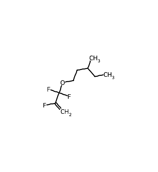 C=C(F)C(F)(F)OCCC(C)CC